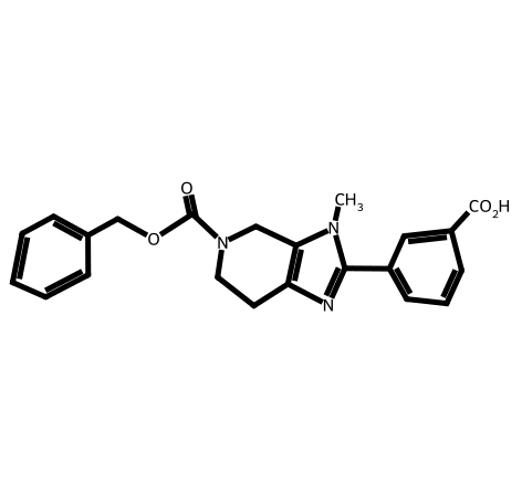 Cn1c(-c2cccc(C(=O)O)c2)nc2c1CN(C(=O)OCc1ccccc1)CC2